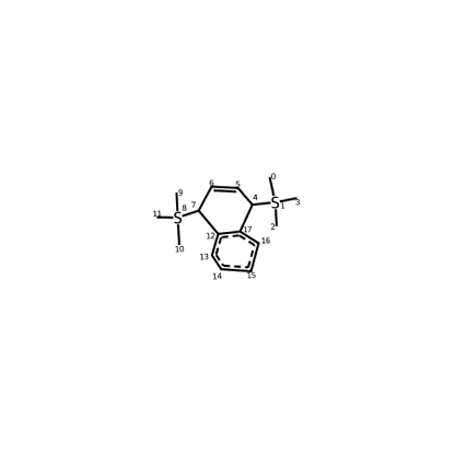 CS(C)(C)C1C=CC(S(C)(C)C)c2ccccc21